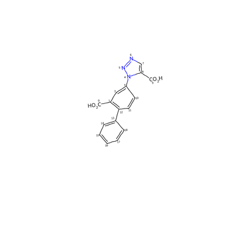 O=C(O)c1cc(-n2nncc2C(=O)O)ccc1-c1ccccc1